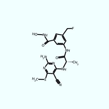 CSc1nc(N)nc(N[C@@H](C)C(=O)Nc2cc(CF)cc(C(=O)NO)c2)c1C#N